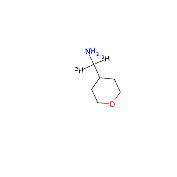 [2H]C([2H])(N)C1CCOCC1